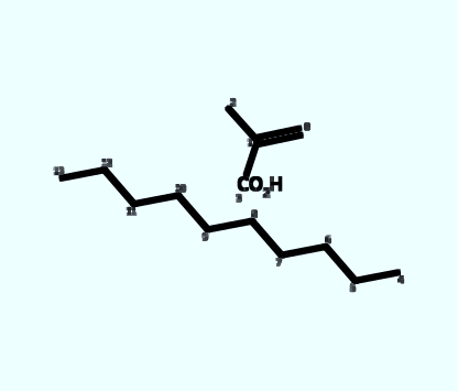 C=C(C)C(=O)O.CCCCCCCCCC